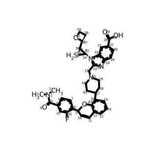 CN(C)C(=O)c1ccc(C2C=Cc3cccc(C4CCN(Cc5nc6ccc(C(=O)O)cc6n5[C@@H]5[SiH2][C@@H]5[C@@H]5CCO5)CC4)c3O2)c(F)c1